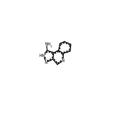 Nc1[nH]nc2cnc3ccccc3c12